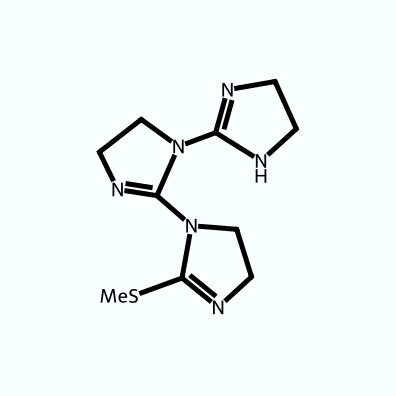 CSC1=NCCN1C1=NCCN1C1=NCCN1